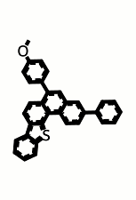 COc1ccc(-c2cc3cc(-c4ccccc4)ccc3c3c2ccc2c4ccccc4sc23)cc1